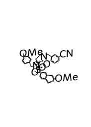 COc1ccc(CN([C@H]2CCN(Cc3cccc(C#N)c3)C2=O)S(=O)(=O)c2ccc3ccc(OC)cc3c2)cc1